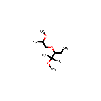 CCC(OCC(C)OC)C(C)(C)O[SiH3]